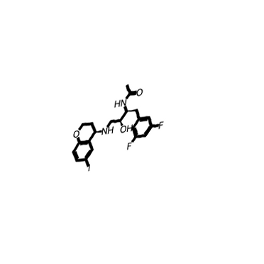 CC(=O)N[C@@H](Cc1cc(F)cc(F)c1)[C@@H](O)CN[C@@H]1CCOc2ccc(I)cc21